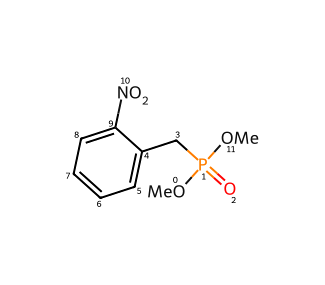 COP(=O)(Cc1ccccc1[N+](=O)[O-])OC